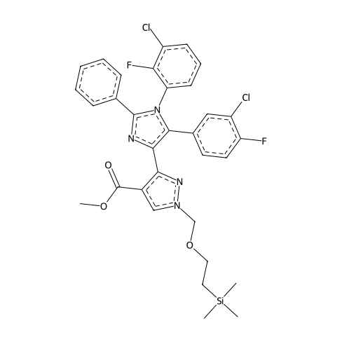 COC(=O)c1cn(COCC[Si](C)(C)C)nc1-c1nc(-c2ccccc2)n(-c2cccc(Cl)c2F)c1-c1ccc(F)c(Cl)c1